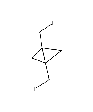 ICC12CC1(CI)C2